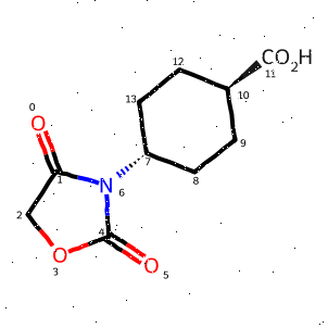 O=C1COC(=O)N1[C@H]1CC[C@H](C(=O)O)CC1